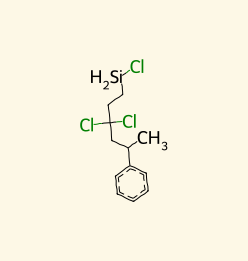 CC(CC(Cl)(Cl)CC[SiH2]Cl)c1ccccc1